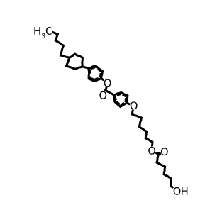 CCCCCC1CCC(c2ccc(OC(=O)c3ccc(OCCCCCCOC(=O)CCCCCO)cc3)cc2)CC1